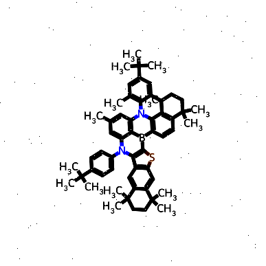 Cc1cc2c3c(c1)N(c1ccc(C(C)(C)C)cc1)c1c(sc4cc5c(cc14)C(C)(C)CCC5(C)C)B3c1ccc3c4c1N2c1c(C)cc(C(C)(C)C)cc1C4(C)CCC3(C)C